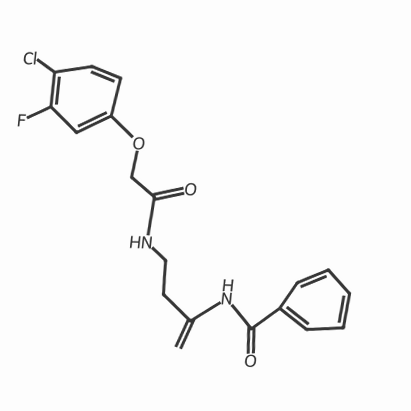 C=C(CCNC(=O)COc1ccc(Cl)c(F)c1)NC(=O)c1ccccc1